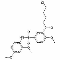 COc1ccc(NS(=O)(=O)c2ccc(OC)c(C(=O)CCCCCl)c2)c(OC)c1